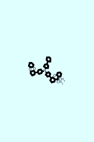 CC1(C)c2ccccc2Oc2c(-c3ccc(N(c4ccc(-c5ccccc5)cc4)c4ccc(-c5cccc6c5Oc5ccccc5O6)cc4)cc3)cccc21